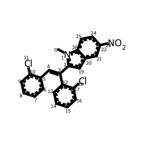 Cn1c(C(=Cc2ccccc2Cl)c2ccccc2Cl)cc2cc([N+](=O)[O-])ccc21